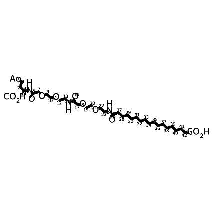 CC(=O)CC[C@H](NC(=O)COCCOCCNC(=O)COCCOCCNC(=O)CCCCCCCCCCCCCCCCC(=O)O)C(=O)O